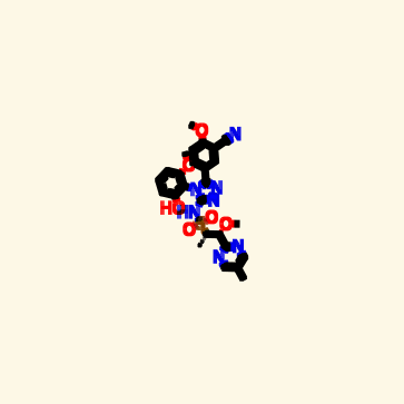 COC1=C=C=C(c2nnc(NS(=O)(=O)[C@@H](C)[C@H](OC)c3ncc(C)cn3)n2-c2c(O)cccc2OC)C=C1C#N